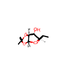 CC[C@@]1(C)O[C@@H]2OC(C)(C)O[C@@H]2[C@@H]1O